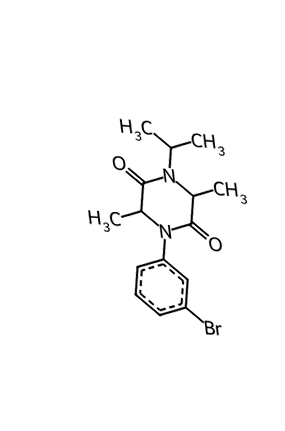 CC1C(=O)N(C(C)C)C(C)C(=O)N1c1cccc(Br)c1